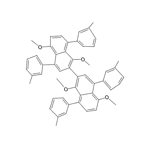 COc1ccc(-c2cccc(C)c2)c2c(OC)c(-c3cc(-c4cccc(C)c4)c4c(OC)ccc(-c5cccc(C)c5)c4c3OC)cc(-c3cccc(C)c3)c12